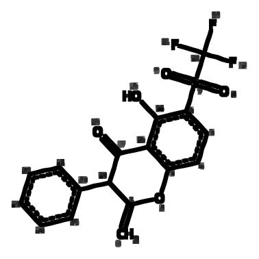 C=C1Oc2ccc(S(=O)(=O)C(F)(F)F)c(O)c2C(=O)C1c1ccccc1